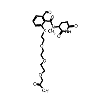 CN(C(=O)c1c(C=O)cccc1SCCOCCOCCOCC(=O)O)C1CCC(=O)NC1=O